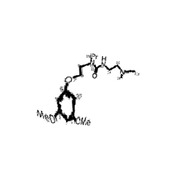 COc1cc(OC)cc(OCCN(C(=O)NCCN(C)C)C(C)C)c1